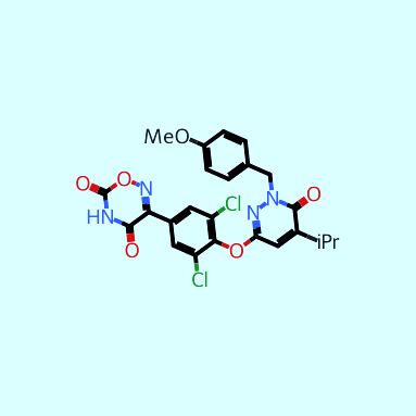 COc1ccc(Cn2nc(Oc3c(Cl)cc(-c4noc(=O)[nH]c4=O)cc3Cl)cc(C(C)C)c2=O)cc1